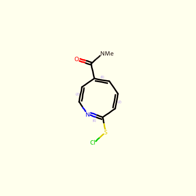 CNC(=O)C1=C/C=C\C(SCl)=N/C=C\1